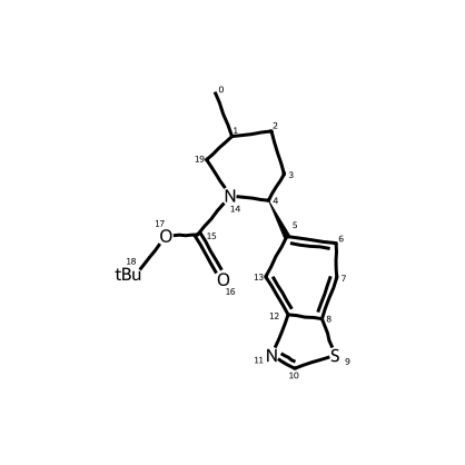 CC1CC[C@@H](c2ccc3scnc3c2)N(C(=O)OC(C)(C)C)C1